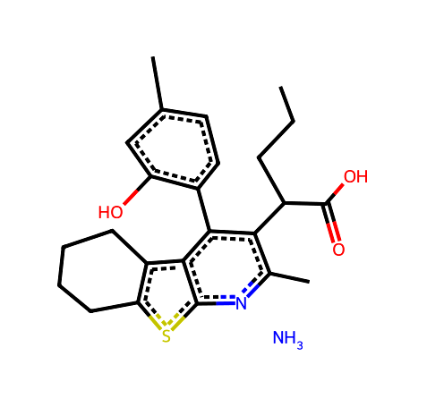 CCCC(C(=O)O)c1c(C)nc2sc3c(c2c1-c1ccc(C)cc1O)CCCC3.N